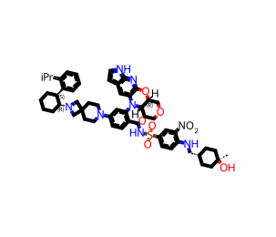 CC(C)c1ccccc1[C@@H]1CCCC[C@H]1N1CC2(CCN(c3ccc(C(=O)NS(=O)(=O)c4ccc(NC[C@H]5CC[C@](C)(O)CC5)c([N+](=O)[O-])c4)c(N4c5cc6cc[nH]c6nc5O[C@H]5COCC[C@@H]54)c3)CC2)C1